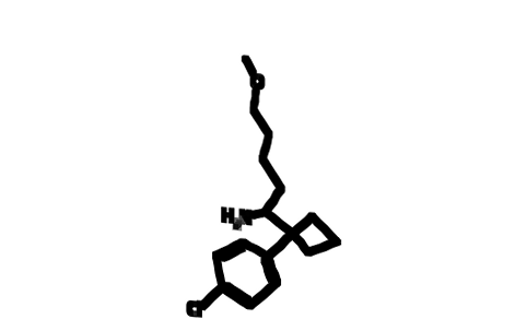 COCCCCC(N)C1(c2ccc(Cl)cc2)CCC1